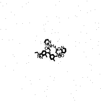 CC[C@@H]1CN(Cc2cc([C@H](CC(=O)Nc3ncccn3)c3ccc4c(nnn4CC)c3C)ccc2C)S(=O)(=O)c2cccnc2O1